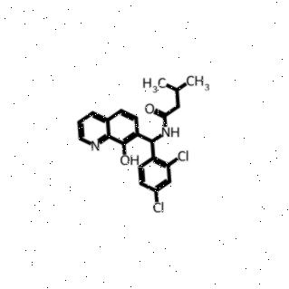 CC(C)CC(=O)NC(c1ccc(Cl)cc1Cl)c1ccc2cccnc2c1O